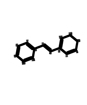 [C]1C=CC(C=Cc2ccccc2)=CC1